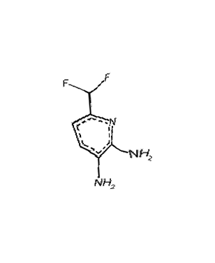 Nc1ccc(C(F)F)nc1N